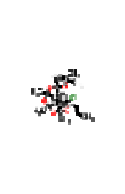 CCC[Si](C)(Cl)O[Si](C)(C)O[Si](C)(C)O[Si](C)(C)O[Si](C)(C)O[Si](C)(C)C